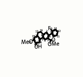 COC(=O)c1cc2c(cc1-c1ccccc1F)CCc1cc(OC)c(O)cc1-2